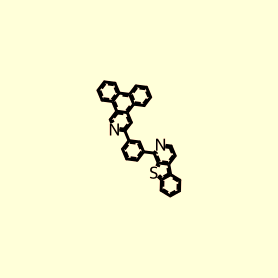 c1cc(-c2cc3c4ccccc4c4ccccc4c3cn2)cc(-c2nccc3c2sc2ccccc23)c1